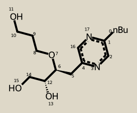 CCCCc1cnc(C[C@H](OCCCO)[C@H](O)CO)cn1